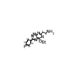 CCOc1nc(CCN)nc2nnc(-c3ccc(F)cc3)nc12